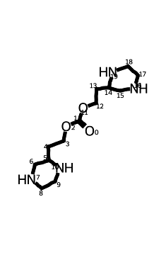 O=C(OCCC1CNCCN1)OCCC1CNCCN1